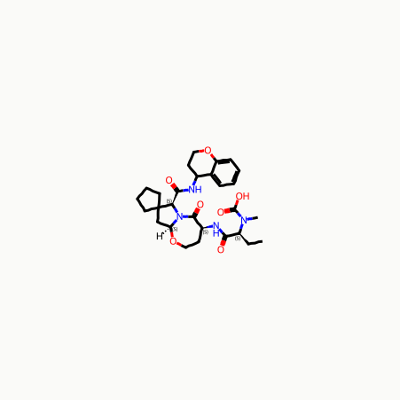 CC[C@@H](C(=O)N[C@H]1CCO[C@H]2CC3(CCCC3)[C@@H](C(=O)NC3CCOc4ccccc43)N2C1=O)N(C)C(=O)O